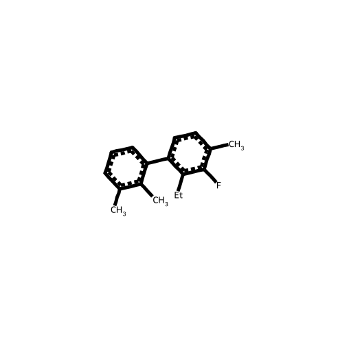 CCc1c(-c2cccc(C)c2C)ccc(C)c1F